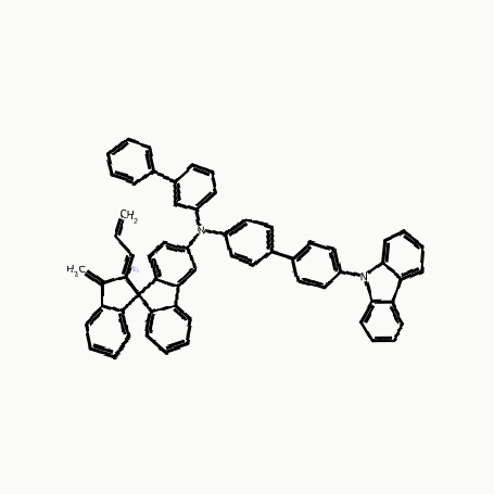 C=C/C=C1\C(=C)c2ccccc2C12c1ccccc1-c1cc(N(c3ccc(-c4ccc(-n5c6ccccc6c6ccccc65)cc4)cc3)c3cccc(-c4ccccc4)c3)ccc12